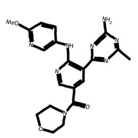 COc1ccc(Nc2ncc(C(=O)N3CCOCC3)cc2-c2nc(C)nc(N)n2)cn1